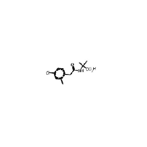 Cc1cc(Cl)ccc1CC(=O)NC(C)(C)C(=O)O